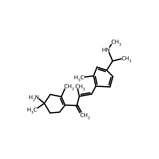 C=C(C1=C(C)CC(C)(N)CC1)/C(C)=C/c1ccc(C(C)NC)cc1C